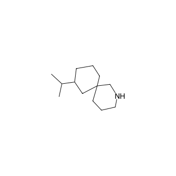 CC(C)C1CCCC2(CCCNC2)C1